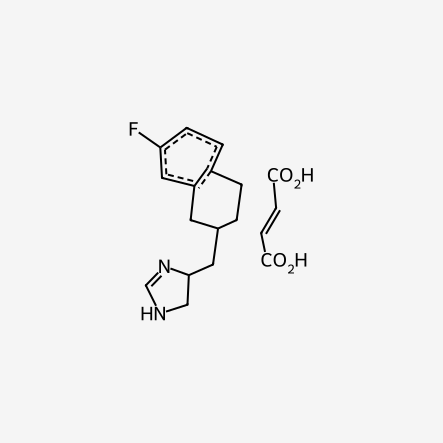 Fc1ccc2c(c1)CC(CC1CNC=N1)CC2.O=C(O)C=CC(=O)O